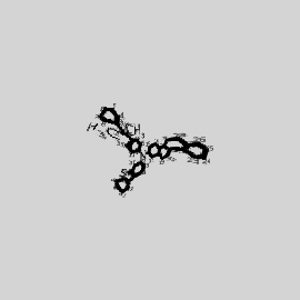 CC(C)(c1ccccc1)c1ccc(N(c2ccc3c(ccc4c5ccccc5ccc34)c2)c2ccc3c(c2)sc2ccccc23)cc1